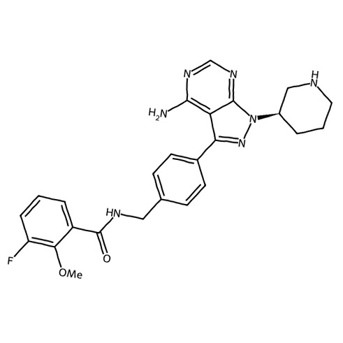 COc1c(F)cccc1C(=O)NCc1ccc(-c2nn([C@@H]3CCCNC3)c3ncnc(N)c23)cc1